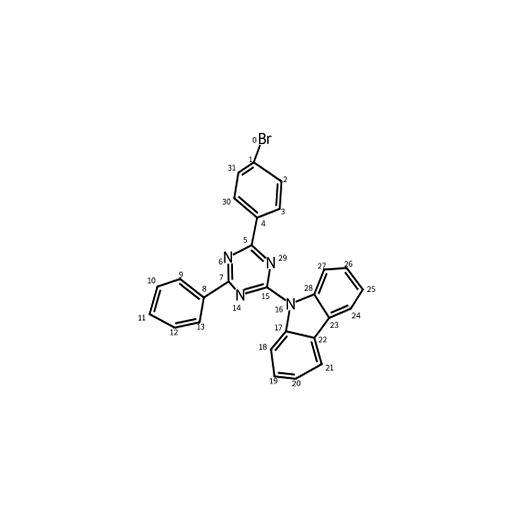 Brc1ccc(-c2nc(-c3ccccc3)nc(-n3c4ccccc4c4ccccc43)n2)cc1